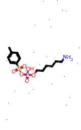 Cc1ccc(S(=O)(=O)OP(=O)(O)OCCCCCCN)cc1